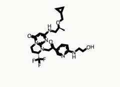 C[C@@H](CNc1cc(=O)n2c(n1)N(CC(=O)c1ccc(NCCO)nc1)[C@H](C(F)(F)F)CC2)OCC1CC1